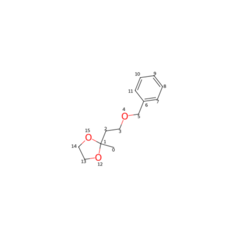 CC1(CCOCc2ccccc2)OCCO1